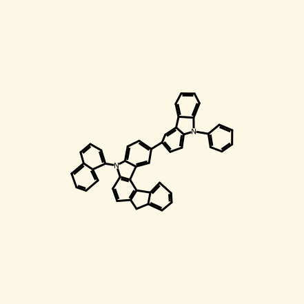 c1ccc(-n2c3ccccc3c3cc(-c4ccc5c(c4)c4c6c(ccc4n5-c4cccc5ccccc45)Cc4ccccc4-6)ccc32)cc1